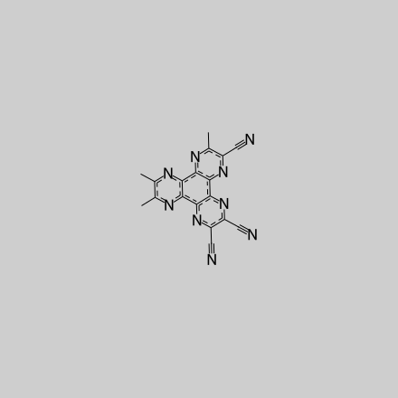 Cc1nc2c(nc1C)c1nc(C#N)c(C#N)nc1c1nc(C#N)c(C)nc21